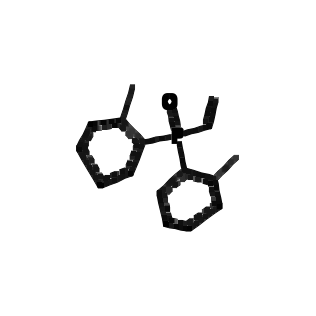 C=CP(=O)(c1ccccc1C)c1ccccc1C